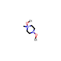 CCON1CC[N+](C)(OCC)CC1